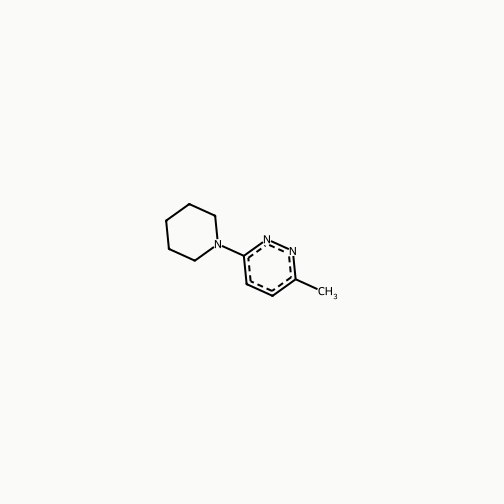 Cc1ccc(N2CCCCC2)nn1